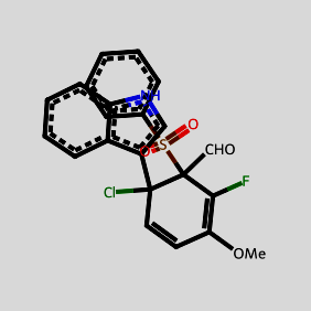 COC1=C(F)C(C=O)(S(=O)(=O)c2ccccc2)C(Cl)(c2c[nH]c3ccccc23)C=C1